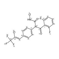 O=C(NCl)N(C(=O)c1c(F)cccc1F)c1ccc(C=C(Cl)C(F)(F)F)cc1